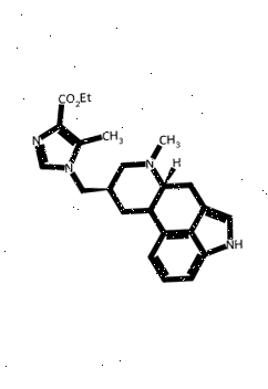 CCOC(=O)c1ncn(C[C@@H]2CC3c4cccc5[nH]cc(c45)C[C@H]3N(C)C2)c1C